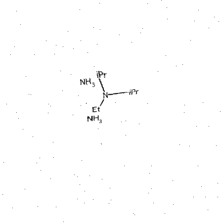 CCN(C(C)C)C(C)C.N.N